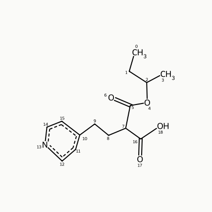 CCC(C)OC(=O)C(CCc1ccncc1)C(=O)O